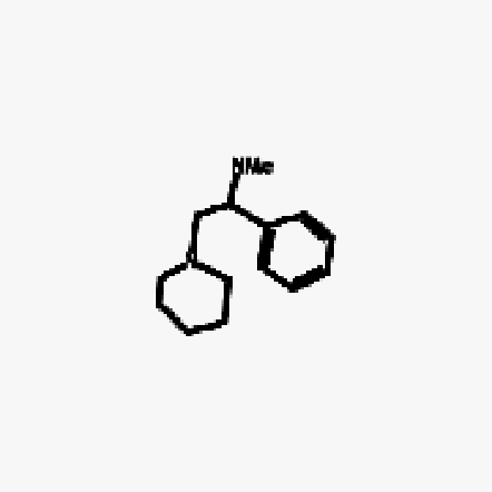 CNC(CN1CCCCC1)c1ccccc1